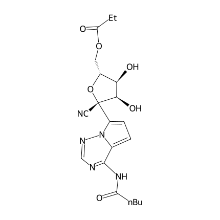 CCCCC(=O)Nc1ncnn2c([C@]3(C#N)O[C@H](COC(=O)CC)[C@@H](O)[C@H]3O)ccc12